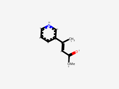 COC(=O)/C=C(\C)c1cccnc1